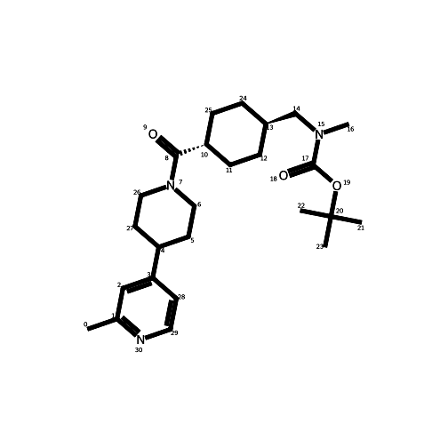 Cc1cc(C2CCN(C(=O)[C@H]3CC[C@H](CN(C)C(=O)OC(C)(C)C)CC3)CC2)ccn1